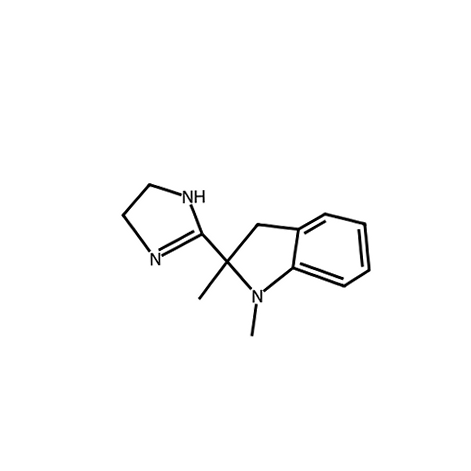 CN1c2ccccc2CC1(C)C1=NCCN1